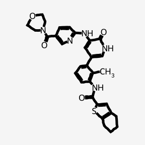 Cc1c(NC(=O)c2cc3c(s2)CCCC3)cccc1-c1c[nH]c(=O)c(Nc2ccc(C(=O)N3CCOCC3)cn2)c1